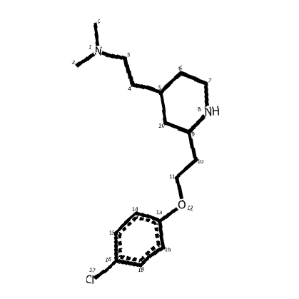 CN(C)CCC1CCNC(CCOc2ccc(Cl)cc2)C1